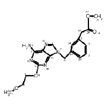 COCCOc1nc(N)c2ncn(Cc3cccc(CC(=O)OC)c3)c2n1